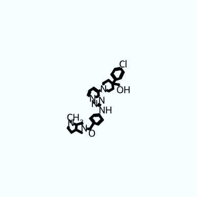 CN1CCC2CN(C(=O)c3ccc(Nc4nc5c(N6CCC(CO)(c7ccc(Cl)cc7)CC6)cccn5n4)cc3)CC21